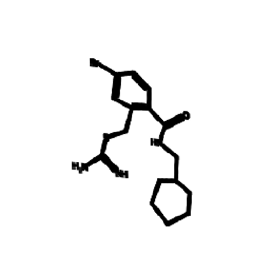 N=C(N)SCc1cc(Br)ccc1C(=O)NCC1CCCCC1